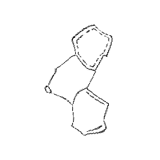 C1=CCC2OCc3ccccc3C2=C1